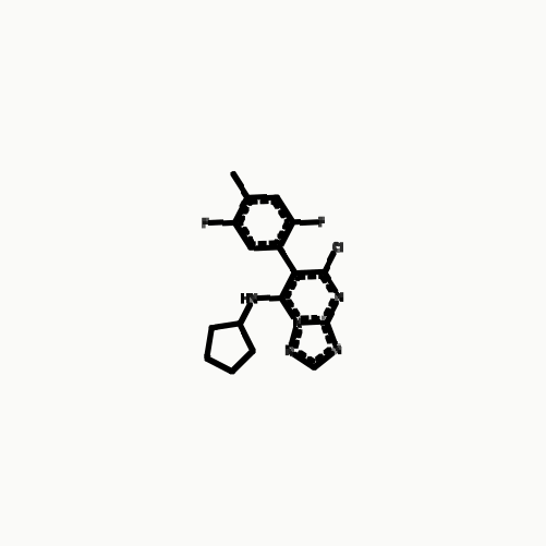 Cc1cc(F)c(-c2c(Cl)nc3ncnn3c2NC2CCCC2)cc1F